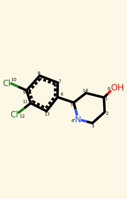 OC1CC[N]C(c2ccc(Cl)c(Cl)c2)C1